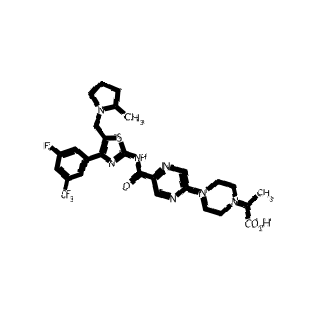 CC1CCCN1Cc1sc(NC(=O)c2cnc(N3CCN(C(C)C(=O)O)CC3)cn2)nc1-c1cc(F)cc(C(F)(F)F)c1